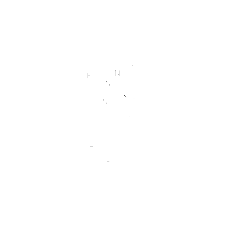 Fc1cnc2c([C@H]3C[C@@H]3c3ccc(C(F)F)cc3)cc(Cl)nn12